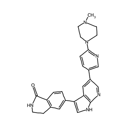 CN1CCN(c2ccc(-c3cnc4[nH]cc(-c5ccc6c(c5)CCNC6=O)c4c3)cn2)CC1